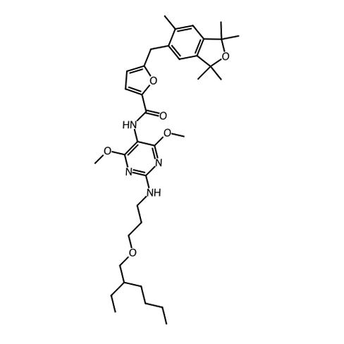 CCCCC(CC)COCCCNc1nc(OC)c(NC(=O)c2ccc(Cc3cc4c(cc3C)C(C)(C)OC4(C)C)o2)c(OC)n1